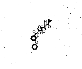 O=C(N[C@H]1CO[C@H]2[C@@H]1OC[C@@H]2NC(=O)C1CC1)c1cccc(OC2CCCCC2)c1